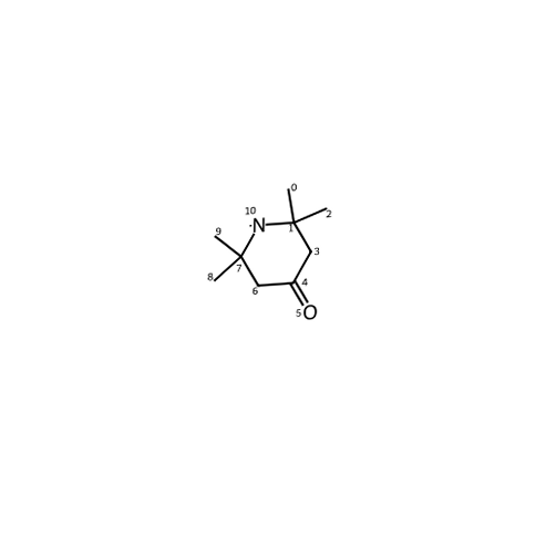 CC1(C)CC(=O)CC(C)(C)[N]1